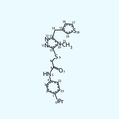 CC(C)c1ccc(NC(=O)CSc2nnc(Cc3ccsc3)n2C)cc1